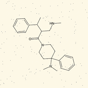 CNCC(C(=O)N1CCC(c2ccccc2)(N(C)C)CC1)C(C)c1ccccc1